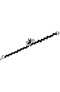 CCCCCCCCCCCCCCCCCCN(CCCCCCCCCCCCCCCCCC)C(=S)[S][Mo]